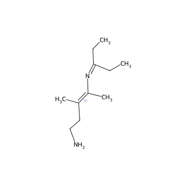 CCC(CC)=N/C(C)=C(\C)CCN